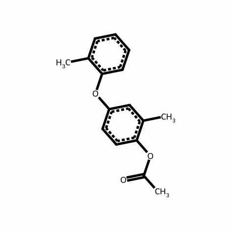 CC(=O)Oc1ccc(Oc2ccccc2C)cc1C